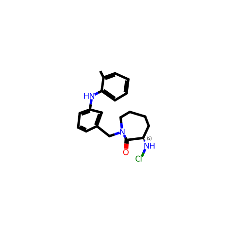 Cc1ccccc1Nc1cccc(CN2CCCC[C@H](NCl)C2=O)c1